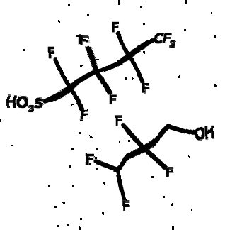 O=S(=O)(O)C(F)(F)C(F)(F)C(F)(F)C(F)(F)F.OCC(F)(F)C(F)F